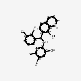 Cc1nc(NC(c2cccc(Cl)c2Cl)c2ccc3cccnc3c2O)c(Cl)cc1Cl